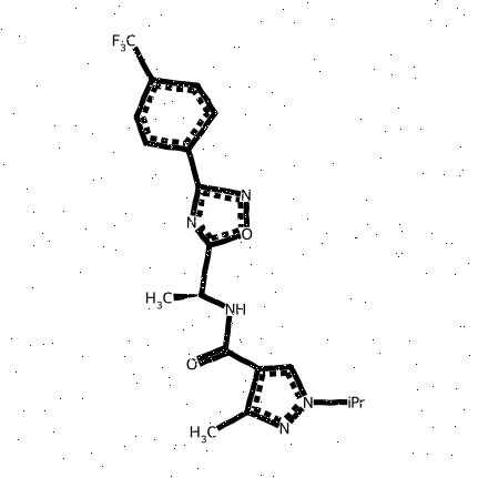 Cc1nn(C(C)C)cc1C(=O)N[C@@H](C)c1nc(-c2ccc(C(F)(F)F)cc2)no1